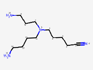 N#CCCCCN(CCCN)CCCCN